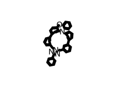 c1ccc(-c2nc3nc(n2)c2cccc(c2)c2cccc(c2)n2c4ccccc4oc4ccc(cc4-2)c2cccc3c2)cc1